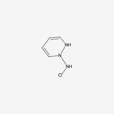 ClNN1C=CC=CN1